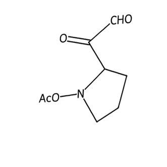 CC(=O)ON1CCCC1C(=O)C=O